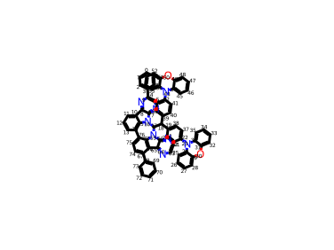 c1ccc(-c2cnc3c(n2)c2cccc4c2n3C(C(c2ccc(N3c5ccccc5Oc5ccccc53)cc2)c2ccc(N3c5ccccc5Oc5ccccc53)cc2)n2c3nccnc3c3c(-c5ccccc5)ccc-4c32)cc1